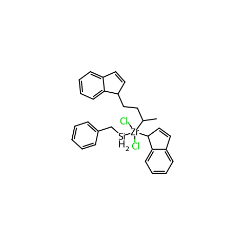 C[CH](CCC1C=Cc2ccccc21)[Zr]([Cl])([Cl])([SiH2]Cc1ccccc1)[CH]1C=Cc2ccccc21